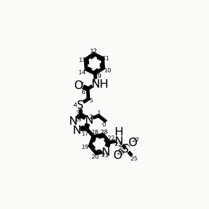 CCn1c(SCC(=O)Nc2ccccc2)nnc1-c1ccnc(NS(C)(=O)=O)c1